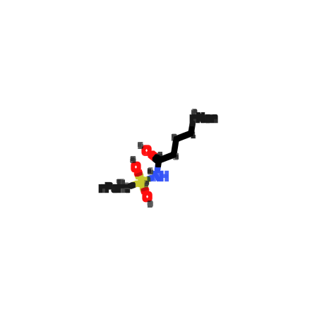 CCCCCCCCCCCCC(=O)NS(=O)(=O)CCCCC